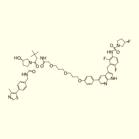 Cc1ncsc1-c1ccc(CNC(=O)[C@@H]2C[C@@H](O)CN2C(=O)[C@@H](NC(=O)COCCCOCCCOc2ccc(-c3cnc4[nH]cc(Cc5c(F)ccc(NS(=O)(=O)N6CC[C@@H](F)C6)c5F)c4c3)cc2)C(C)(C)C)cc1